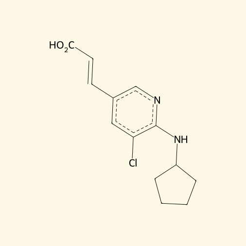 O=C(O)C=Cc1cnc(NC2CCCC2)c(Cl)c1